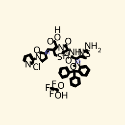 Nc1nc(/C(=N/OC(c2ccccc2)(c2ccccc2)c2ccccc2)C(=O)N[C@@H]2C(=O)N3C(C(=O)O)=C(/C=C4\CCN(c5cccnc5Cl)C4=O)CS[C@H]23)cs1.O=C(O)C(F)(F)F